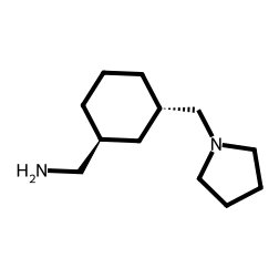 NC[C@H]1CCC[C@H](CN2CCCC2)C1